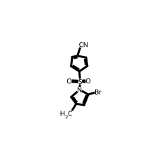 [CH2]c1cc(Br)n(S(=O)(=O)c2ccc(C#N)cc2)c1